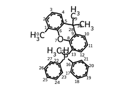 Cc1cccc2c1Oc1c(cccc1[PH](C)(c1ccccc1)c1ccccc1)C2(C)C